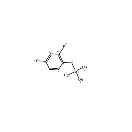 O[Si](O)(O)Cc1ccc(F)cc1F